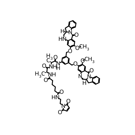 COc1cc2c(cc1OCc1cc(COc3cc4c(cc3OC)C(=O)N3c5ccccc5C[C@H]3CN4)cc(NC(=O)[C@H](C)NC(=O)[C@H](C)NC(=O)CCCCC(=O)NCCN3C(=O)C=CC3=O)c1)N=C[C@@H]1Cc3ccccc3N1C2=O